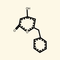 O=c1cc(O)cc(Cc2ccccc2)o1